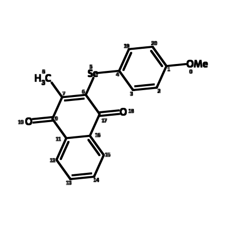 COc1ccc([Se]C2=C(C)C(=O)c3ccccc3C2=O)cc1